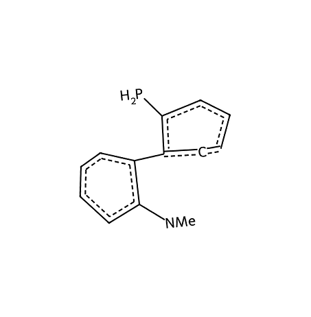 CNc1ccccc1-c1ccccc1P